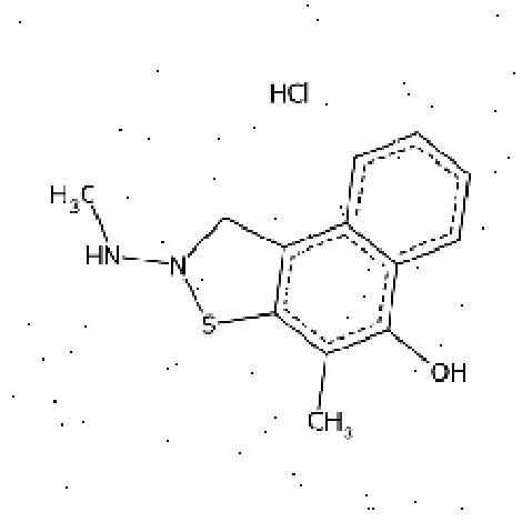 CNN1Cc2c(c(C)c(O)c3ccccc23)S1.Cl